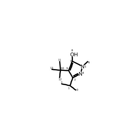 CC(C)c1nn(C)c(O)c1C(C)(C)C